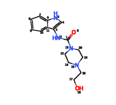 O=C(Nc1c[nH]c2ccccc12)N1CCN(CCO)CC1